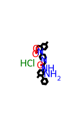 Cc1ccc2c(c1)COC(=O)N2C1CCN(CC(=O)Nc2ccc(C)c(-c3ccccc3)c2N)CC1.Cl